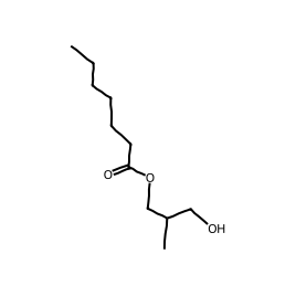 CCCCCCC(=O)OCC(C)CO